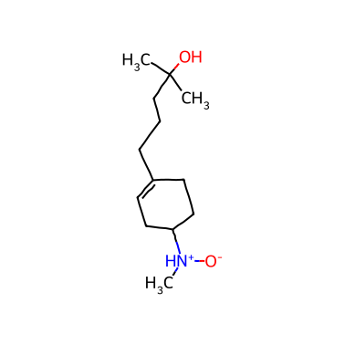 C[NH+]([O-])C1CC=C(CCCC(C)(C)O)CC1